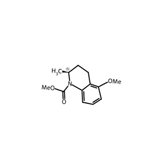 COC(=O)N1c2cccc(OC)c2CC[C@@H]1C